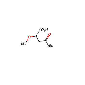 CC(C)(C)OC(CC(=O)C(C)(C)C)C(=O)O